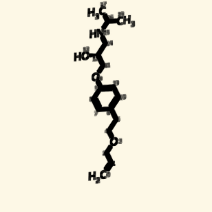 C=CCOCCc1ccc(OC[C@@H](O)CNC(C)C)cc1